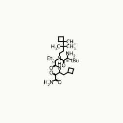 CC[C@@H](C(=O)NC(CC1CCC1)C(=O)C(N)=O)N(CCC(C)(C)C1(C)CCC1)C(=O)[C@@H](N)C(C)(C)C